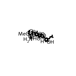 COC1C(OC(N)=O)C(O)C(Oc2ccc3c(O)c(NC(=O)c4ccc(O)c(CC=C(C)C)c4)c(=O)oc3c2C)OC1(C)C